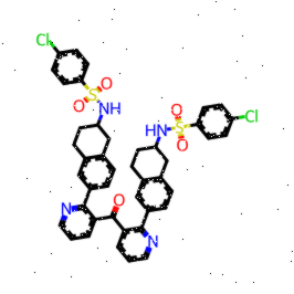 O=C(c1cccnc1-c1ccc2c(c1)CCC(NS(=O)(=O)c1ccc(Cl)cc1)C2)c1cccnc1-c1ccc2c(c1)CCC(NS(=O)(=O)c1ccc(Cl)cc1)C2